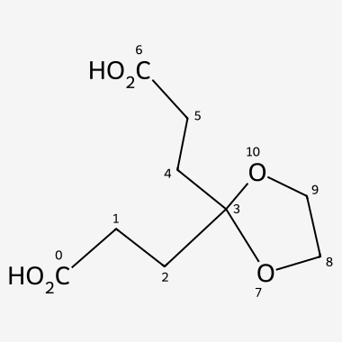 O=C(O)CCC1(CCC(=O)O)OCCO1